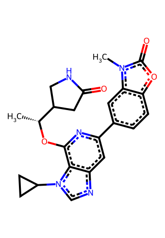 C[C@@H](Oc1nc(-c2ccc3oc(=O)n(C)c3c2)cc2ncn(C3CC3)c12)C1CNC(=O)C1